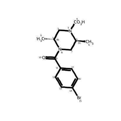 C[C@@H]1CN(C(=O)O)[C@@H](C)CN1C(=O)c1ccc(Br)cc1